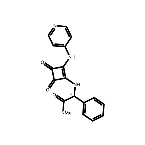 CNC(=O)[C@@H](Nc1c(Nc2ccncc2)c(=O)c1=O)c1ccccc1